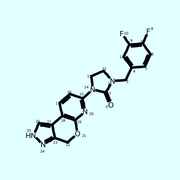 O=C1N(Cc2ccc(F)c(F)c2)CCN1c1ccc2c(n1)OCc1n[nH]cc1-2